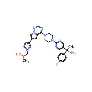 CC(O)Cn1cc(-c2cc3c(N4CCN(c5ncc(C(C)(N)c6ccc(F)cc6)cn5)CC4)ncnn3c2)cn1